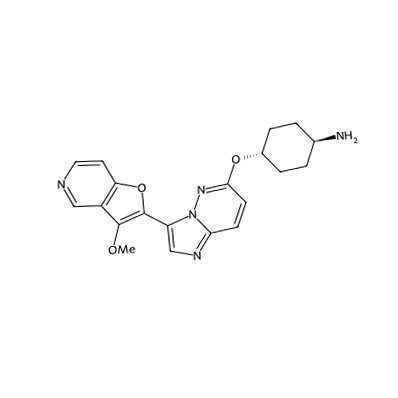 COc1c(-c2cnc3ccc(O[C@H]4CC[C@H](N)CC4)nn23)oc2ccncc12